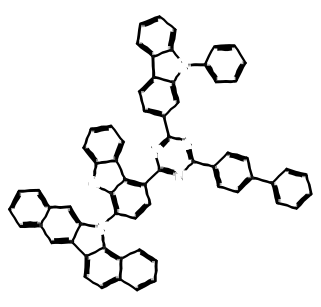 c1ccc(-c2ccc(-c3nc(-c4ccc5c6ccccc6n(-c6ccccc6)c5c4)nc(-c4ccc(-n5c6cc7ccccc7cc6c6ccc7ccccc7c65)c5oc6ccccc6c45)n3)cc2)cc1